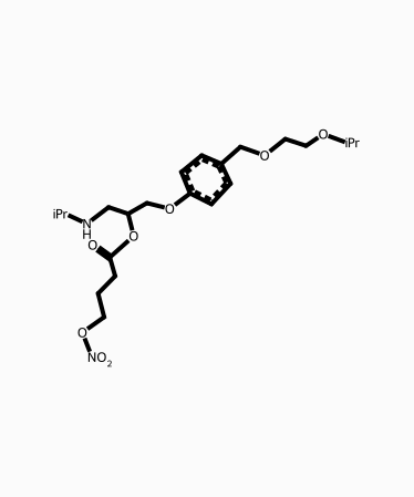 CC(C)NCC(COc1ccc(COCCOC(C)C)cc1)OC(=O)CCCO[N+](=O)[O-]